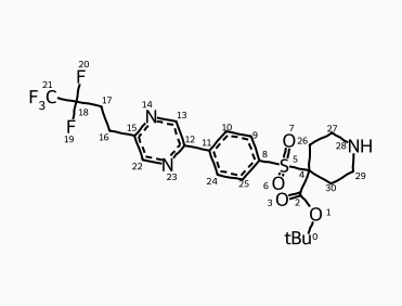 CC(C)(C)OC(=O)C1(S(=O)(=O)c2ccc(-c3cnc(CCC(F)(F)C(F)(F)F)cn3)cc2)CCNCC1